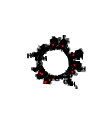 CCCC[C@H]1C(=O)N(C)CC(=O)N[C@@H](CC(=O)O)C(=O)N[C@@H](C(C)C)C(=O)N(C)[C@@H](Cc2ccccc2)C(=O)N[C@@H](Cc2c(F)c(F)c(F)c(F)c2F)C(=O)N(C)CC(=O)N[C@@H](Cc2c[nH]c3ccccc23)C(=O)N[C@@H](Cc2ccc(O)cc2)C(=O)N[C@@H](CC(C)C)C(=O)N[C@H](C(=O)NCC(N)=O)CSCC(=O)N[C@@H](Cc2ccccc2)C(=O)N(C)[C@@H](Cc2ccccc2)C(=O)N1C